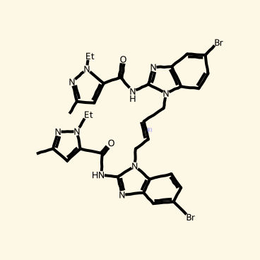 CCn1nc(C)cc1C(=O)Nc1nc2cc(Br)ccc2n1C/C=C/Cn1c(NC(=O)c2cc(C)nn2CC)nc2cc(Br)ccc21